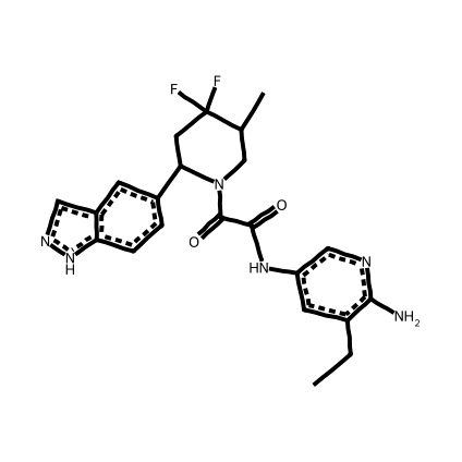 CCc1cc(NC(=O)C(=O)N2CC(C)C(F)(F)CC2c2ccc3[nH]ncc3c2)cnc1N